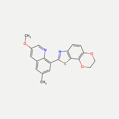 COc1cnc2c(-c3nc4ccc5c(c4s3)OCCO5)cc(C)cc2c1